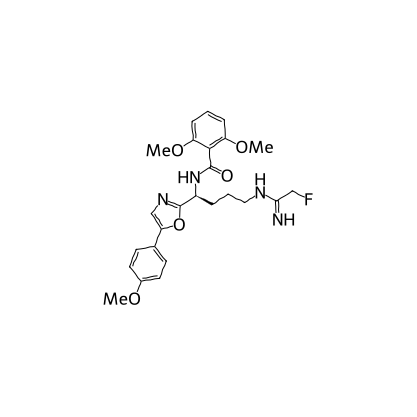 COc1ccc(-c2cnc([C@H](CCCNC(=N)CF)NC(=O)c3c(OC)cccc3OC)o2)cc1